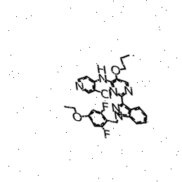 [CH2]CCOc1cnc(-c2nn(Cc3c(F)cc(OCC)cc3F)c3ccccc23)nc1Nc1ccncc1Cl